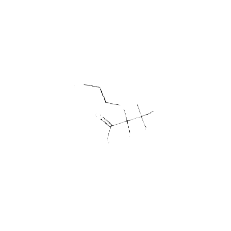 CCCOC(F)(C(=O)O)C(F)(F)F